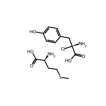 CSCC[C@H](N)C(=O)O.N[C@@](Cl)(Cc1ccc(O)cc1)C(=O)O